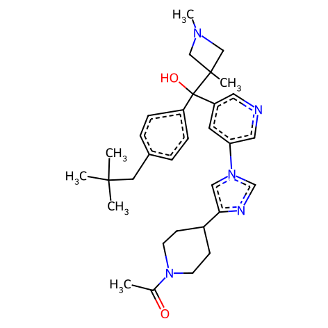 CC(=O)N1CCC(c2cn(-c3cncc(C(O)(c4ccc(CC(C)(C)C)cc4)C4(C)CN(C)C4)c3)cn2)CC1